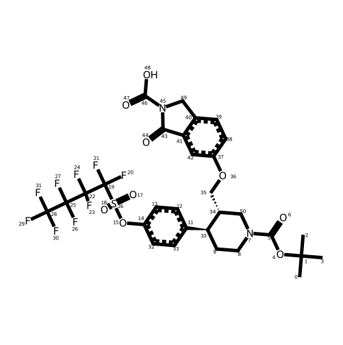 CC(C)(C)OC(=O)N1CC[C@@H](c2ccc(OS(=O)(=O)C(F)(F)C(F)(F)C(F)(F)C(F)(F)F)cc2)[C@H](COc2ccc3c(c2)C(=O)N(C(=O)O)C3)C1